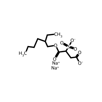 CCCCC(CC)COC(=O)C(CC(=O)[O-])S(=O)(=O)[O-].[Na+].[Na+]